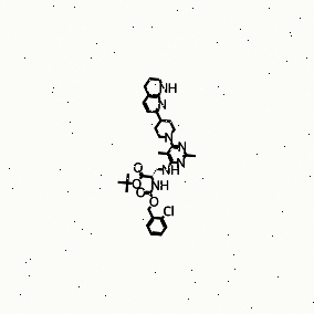 Cc1nc(NC[C@H](NC(=O)OCc2ccccc2Cl)C(=O)OC(C)(C)C)c(C)c(N2CCC(c3ccc4c(n3)NCCC4)CC2)n1